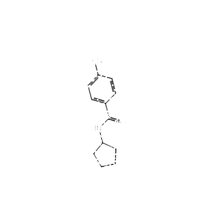 N#Cc1ccc(C(=O)NC2CCCC2)cc1